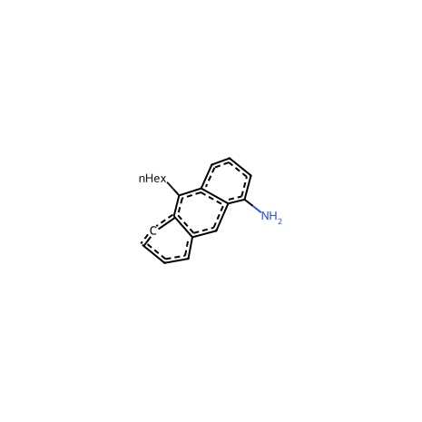 CCCCCCc1c2ccccc2cc2c(N)cccc12